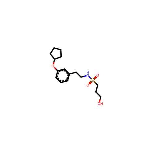 O=S(=O)(CCCO)NCCc1cccc(OC2CCCC2)c1